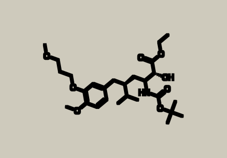 CCOC(=O)[C@H](O)C(C[C@H](Cc1ccc(OC)c(OCCCOC)c1)C(C)C)NC(=O)OC(C)(C)C